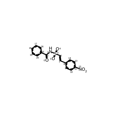 O=C(NS(=O)(=O)C=Cc1ccc([N+](=O)[O-])cc1)c1ccccc1